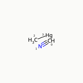 C#N.[CH3][Hg]